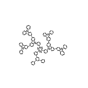 c1ccc(-c2cc(-c3ccccc3)cc(-c3cccc(-c4nc(-c5cccc(-n6c7ccc(-c8ccc9c(c8)c8ccccc8n9-c8ccccc8)cc7c7cc(-c8ccc9c(c8)c8ccccc8n9-c8ccccc8)ccc76)c5)nc(-c5cccc(-n6c7ccc(-c8ccc9c(c8)c8ccccc8n9-c8ccccc8)cc7c7cc(-c8ccc9c(c8)c8ccccc8n9-c8ccccc8)ccc76)c5)n4)c3)c2)cc1